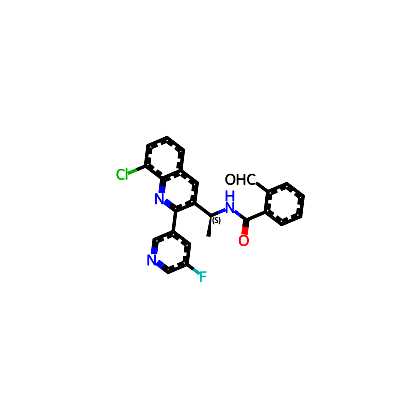 C[C@H](NC(=O)c1ccccc1C=O)c1cc2cccc(Cl)c2nc1-c1cncc(F)c1